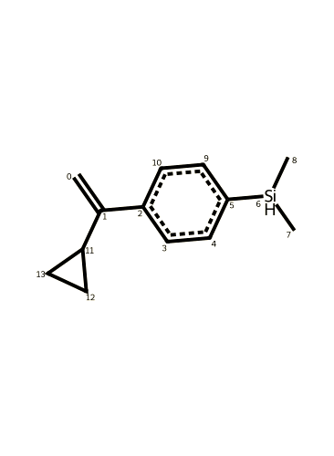 C=C(c1ccc([SiH](C)C)cc1)C1CC1